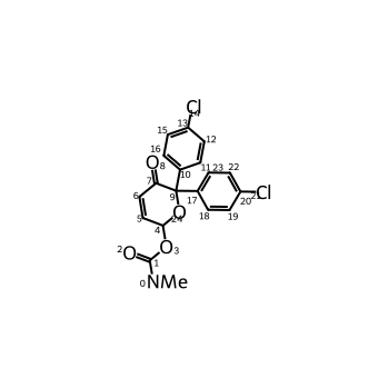 CNC(=O)OC1C=CC(=O)C(c2ccc(Cl)cc2)(c2ccc(Cl)cc2)O1